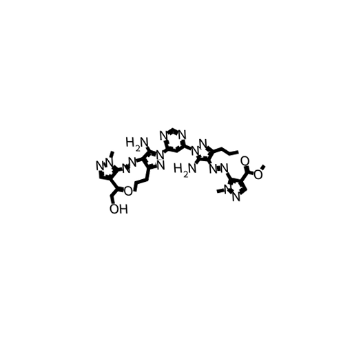 CCCc1nn(-c2cc(-n3nc(CCC)c(/N=N/c4c(C(=O)OC)cnn4C)c3N)ncn2)c(N)c1/N=N/c1c(C(=O)CO)cnn1C